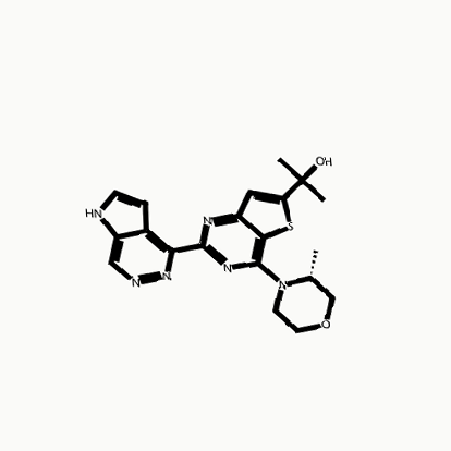 C[C@@H]1COCCN1c1nc(-c2nncc3[nH]ccc23)nc2cc(C(C)(C)O)sc12